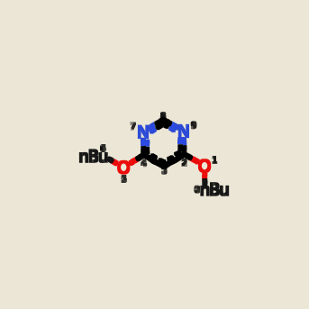 CCCCOc1cc(OCCCC)ncn1